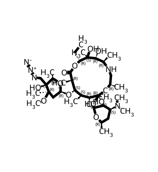 CC[C@H]1OC(=O)[C@H](C)[C@@H](O[C@H]2C[C@@](C)(OC)[C@](O)(CN=[N+]=[N-])[C@H](C)O2)[C@H](C)[C@@H](O[C@@H]2O[C@H](C)C[C@H](N(C)C)[C@H]2O)[C@](C)(O)C[C@@H](C)CN[C@H](C)[C@@H](O)[C@]1(C)O